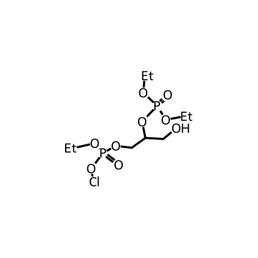 CCOP(=O)(OCl)OCC(CO)OP(=O)(OCC)OCC